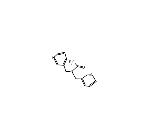 O=C(N(Cc1cccnc1)Cc1cccnc1)C(F)(F)F